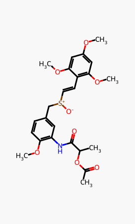 COc1cc(OC)c(C=C[S+]([O-])Cc2ccc(OC)c(NC(=O)C(C)OC(C)=O)c2)c(OC)c1